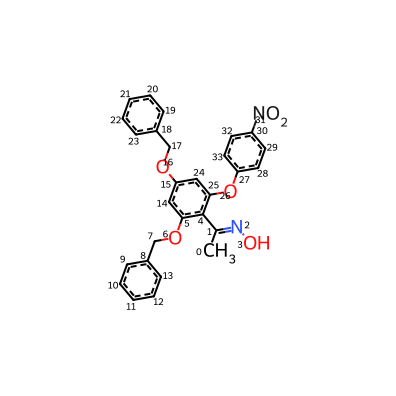 CC(=NO)c1c(OCc2ccccc2)cc(OCc2ccccc2)cc1Oc1ccc([N+](=O)[O-])cc1